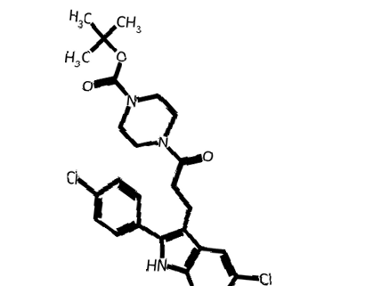 CC(C)(C)OC(=O)N1CCN(C(=O)CCc2c(-c3ccc(Cl)cc3)[nH]c3ccc(Cl)cc23)CC1